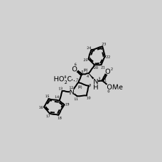 COC(=O)N[C@@H](C(=O)[C@@]1(C(=O)O)CCCN1Cc1ccccc1)c1ccccc1